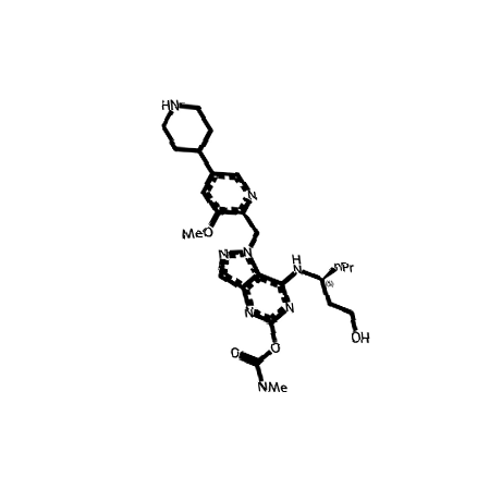 CCC[C@@H](CCO)Nc1nc(OC(=O)NC)nc2cnn(Cc3ncc(C4CCNCC4)cc3OC)c12